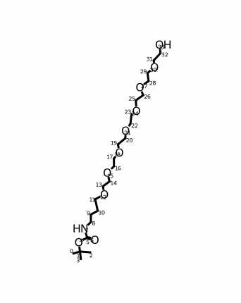 CC(C)(C)OC(=O)NCCCCOCCOCCOCCOCCOCCOCCOCCO